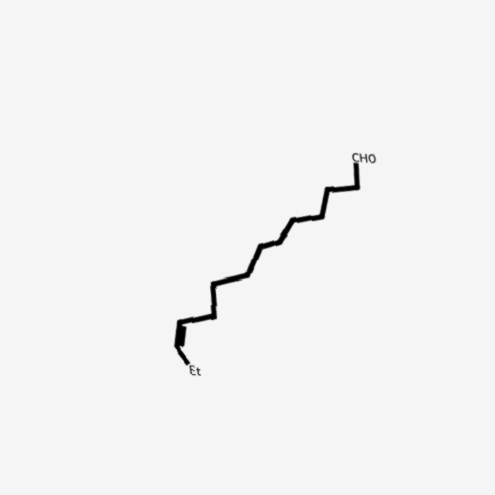 CC/C=C\CCCCCCCCCC=O